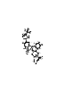 CC(=O)N1CCC(N2Cc3cc(-c4noc(C(F)(F)F)n4)ccc3C2=O)C(c2ccccc2)C1